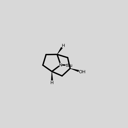 CC(C)(C)N1[C@@H]2CC[C@H]1C[C@H](O)C2